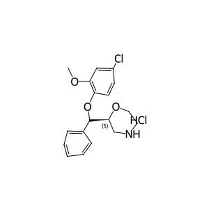 COc1cc(Cl)ccc1OC(c1ccccc1)[C@@H]1CNCCO1.Cl